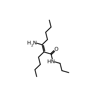 CCCC/C(N)=C(/CCCC)C(=O)NCCC